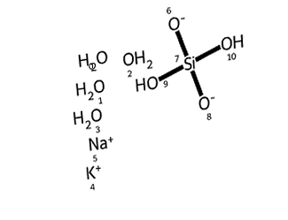 O.O.O.O.[K+].[Na+].[O-][Si]([O-])(O)O